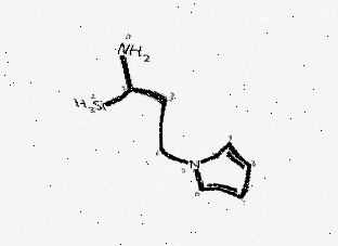 NC([SiH3])CCn1cccc1